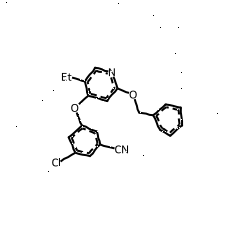 CCc1cnc(OCc2ccccc2)cc1Oc1cc(Cl)cc(C#N)c1